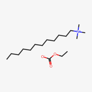 CCCCCCCCCCCC[N+](C)(C)C.CCOC(=O)[O-]